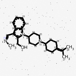 C/N=C\c1c(CO)n(C2CCN(C3CCC(=C(C)C)CC3)CC2)c2ccccc12